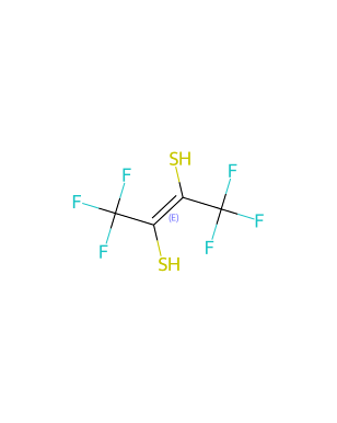 FC(F)(F)/C(S)=C(\S)C(F)(F)F